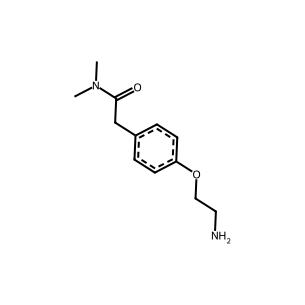 CN(C)C(=O)Cc1ccc(OCCN)cc1